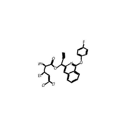 C#CC(OC(=O)C(C(C)C)C(C=C(Cl)Cl)CC)c1cc2ccccc2c(Oc2ccc(F)cc2)n1